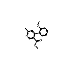 COC(=O)c1cnc(C)cc1-c1ccccc1OC